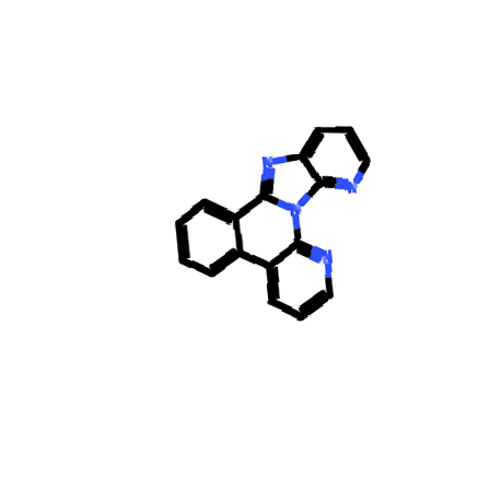 c1cnc2c(c1)nc1c3ccccc3c3cccnc3n21